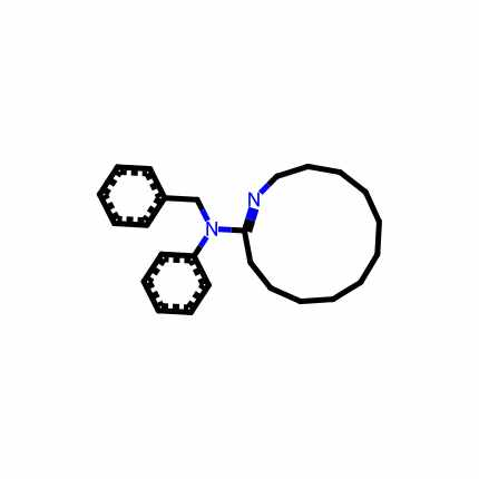 c1ccc(CN(C2=NCCCCCCCCCCC2)c2ccccc2)cc1